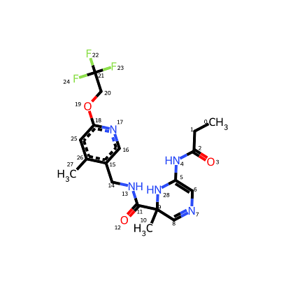 CCC(=O)NC1=CN=CC(C)(C(=O)NCc2cnc(OCC(F)(F)F)cc2C)N1